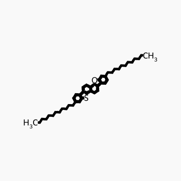 CCCCCCCCCCCCc1ccc2c(c1)oc1c2ccc2c1ccc1c3ccc(CCCCCCCCCCCC)cc3sc12